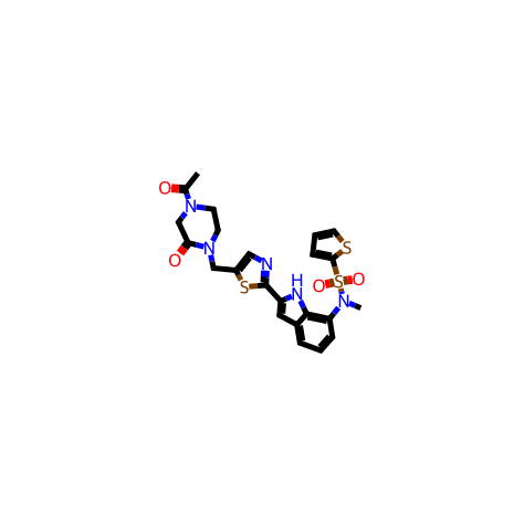 CC(=O)N1CCN(Cc2cnc(-c3cc4cccc(N(C)S(=O)(=O)c5cccs5)c4[nH]3)s2)C(=O)C1